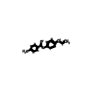 CCOc1ccc(OC(=O)c2ccc(C)cc2)cc1